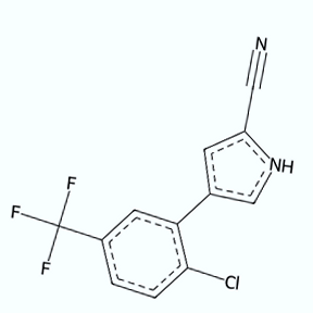 N#Cc1cc(-c2cc(C(F)(F)F)ccc2Cl)c[nH]1